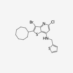 Clc1cc(NCc2cccs2)c2sc(C3CCCCCCC3)c(Br)c2n1